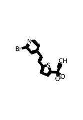 C#CC1(c2ccc(/C=C/c3ccnc(Br)c3)s2)OO1